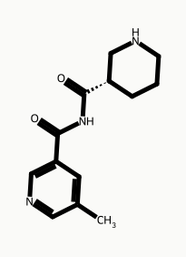 Cc1cncc(C(=O)NC(=O)[C@H]2CCCNC2)c1